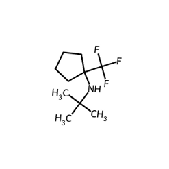 CC(C)(C)NC1(C(F)(F)F)CCCC1